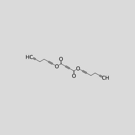 C#CCCC#COC(=O)C#CC(=O)OC#CCCC#C